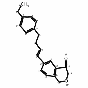 CCc1ccc(CCC=Cc2ccc3c(c2)C(=O)COC3)cc1